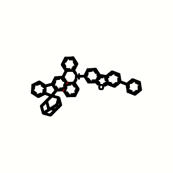 c1ccc(-c2ccc3c(c2)oc2cc(N(c4ccccc4)c4ccccc4-c4ccc5c(c4)-c4ccccc4C54C5CC6CC(C5)CC4C6)ccc23)cc1